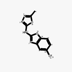 Cc1nnc(Nc2nc3cc(C(F)(F)F)ccc3o2)o1